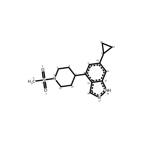 CS(=O)(=O)N1CCC(c2cc(C3CC3)cc3[nH]ncc23)CC1